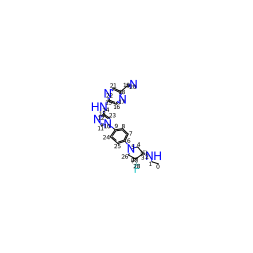 CCN[C@H]1CN(c2ccc(-n3cnc(Nc4cnc(C#N)cn4)c3)cc2)C[C@H]1F